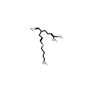 C=CC(CC=COCCCCC)CCC=C(C)C